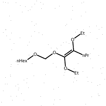 CCCCCCOCOC(OCC)=C(CCC)OCC